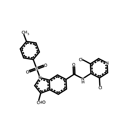 Cc1ccc(S(=O)(=O)n2cc(C=O)c3ccc(C(=O)Nc4c(Cl)cncc4Cl)cc32)cc1